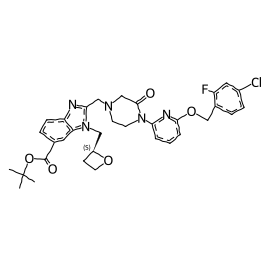 CC(C)(C)OC(=O)c1ccc2nc(CN3CCN(c4cccc(OCc5ccc(Cl)cc5F)n4)C(=O)C3)n(C[C@@H]3CCO3)c2c1